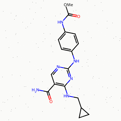 COC(=O)Nc1ccc(Nc2ncc(C(N)=O)c(NCC3CC3)n2)cc1